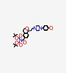 COc1ccc(N2CCN(CC[C@@H]3OCCc4cc(C(=O)N(C(=O)OC(C)(C)C)C(=O)OC(C)(C)C)ccc43)CC2)cc1